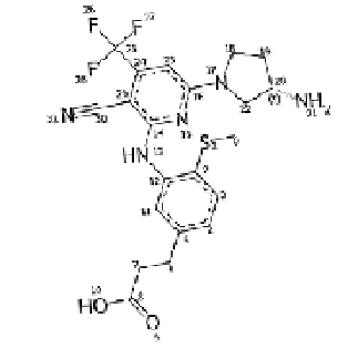 CSc1ccc(CCC(=O)O)cc1Nc1nc(N2CC[C@H](N)C2)cc(C(F)(F)F)c1C#N